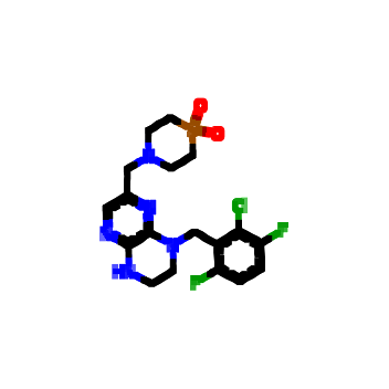 O=S1(=O)CCN(Cc2cnc3c(n2)N(Cc2c(F)ccc(F)c2Cl)CCN3)CC1